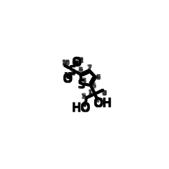 CC(O)(CO)c1ccc(S(C)(=O)=O)s1